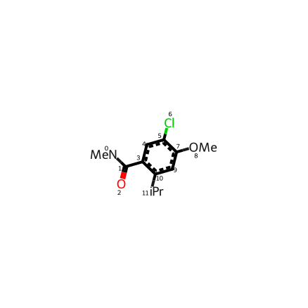 CNC(=O)c1cc(Cl)c(OC)cc1C(C)C